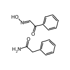 NC(=O)Cc1ccccc1.O=C(C=NO)c1ccccc1